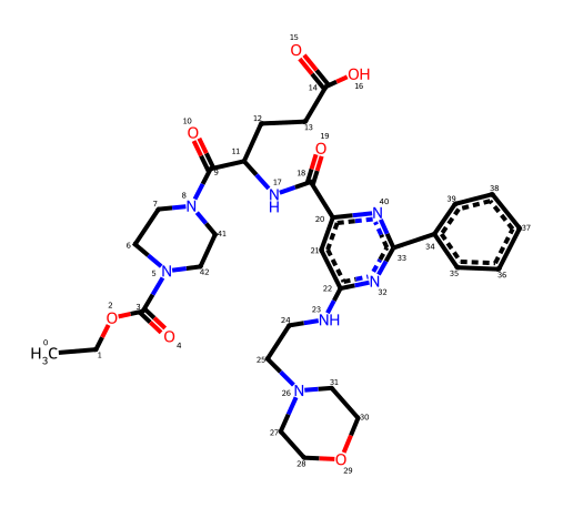 CCOC(=O)N1CCN(C(=O)C(CCC(=O)O)NC(=O)c2cc(NCCN3CCOCC3)nc(-c3ccccc3)n2)CC1